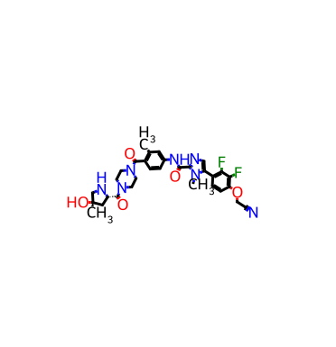 Cc1cc(NC(=O)c2ncc(-c3ccc(OCC#N)c(F)c3F)n2C)ccc1C(=O)N1CCN(C(=O)[C@@H]2C[C@](C)(O)CN2)CC1